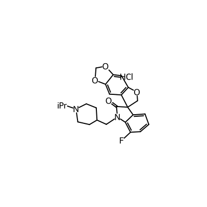 CC(C)N1CCC(CN2C(=O)C3(COc4cc5c(cc43)OCO5)c3cccc(F)c32)CC1.Cl